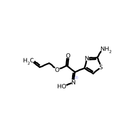 C=CCOC(=O)/C(=N\O)c1csc(N)n1